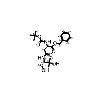 CC(C)(C)OC(=O)N[C@H](CC(=O)N[C@@H](CO)C(C)(C)O)C(=O)OCc1ccccc1